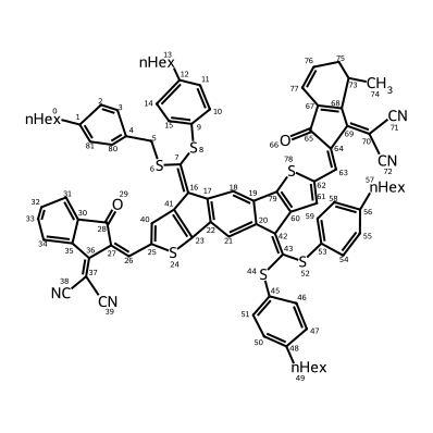 CCCCCCc1ccc(CS/C(Sc2ccc(CCCCCC)cc2)=C2/c3cc4c(cc3-c3sc(/C=C5\C(=O)c6ccccc6C5=C(C#N)C#N)cc32)C(=C(Sc2ccc(CCCCCC)cc2)Sc2ccc(CCCCCC)cc2)c2cc(/C=C3\C(=O)C5=C(C3=C(C#N)C#N)C(C)CC=C5)sc2-4)cc1